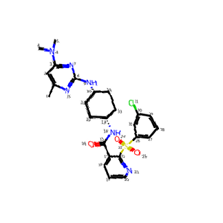 Cc1cc(N(C)C)nc(N[C@H]2CC[C@@H](NC(=O)c3cccnc3S(=O)(=O)c3cccc(Cl)c3)CC2)n1